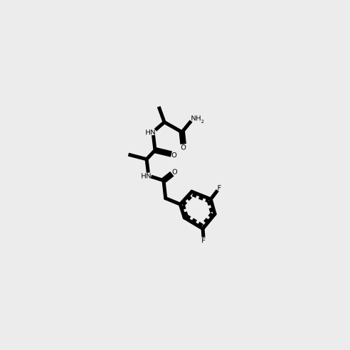 CC(NC(=O)C(C)NC(=O)Cc1cc(F)cc(F)c1)C(N)=O